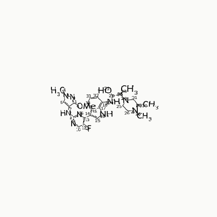 COc1nn(C)cc1Nc1ncc(F)c(-c2c[nH]c3c(NC(O)[C@@H](C)N4CCN(C)[C@@H](C)C4)cccc23)n1